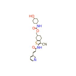 N#Cc1c(NC(=O)C=Cc2cccnc2)sc2c1CCC(COC(=O)N[C@H]1CC[C@H](O)CC1)C2